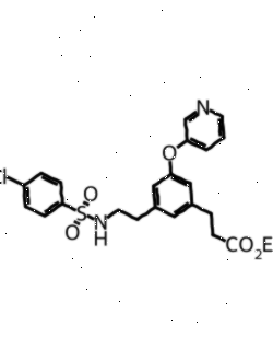 CCOC(=O)CCc1cc(CCNS(=O)(=O)c2ccc(Cl)cc2)cc(Oc2cccnc2)c1